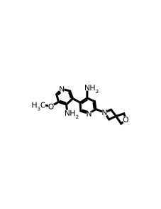 COc1cncc(-c2cnc(N3CC4(COC4)C3)cc2N)c1N